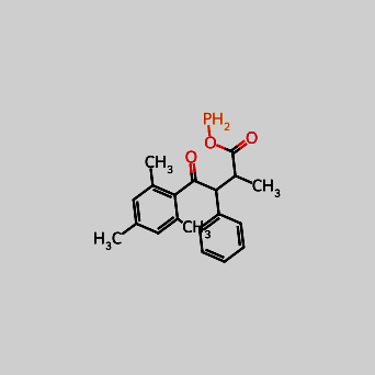 Cc1cc(C)c(C(=O)C(c2ccccc2)C(C)C(=O)OP)c(C)c1